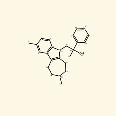 Cc1ccc2c(c1)c1c(n2CC(C)(O)c2ccncc2)CCN(C)CC1